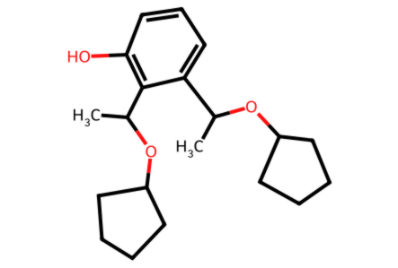 CC(OC1CCCC1)c1cccc(O)c1C(C)OC1CCCC1